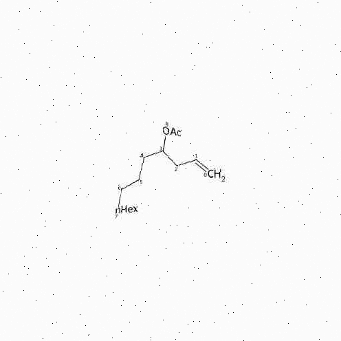 C=CCC(CCCCCCCCC)OC(C)=O